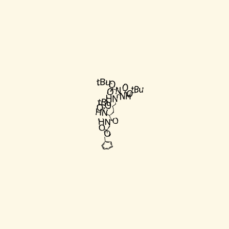 CC(C)(C)OC(=O)/N=C(\NCCC[C@H](NC(=O)OC(C)(C)C)C(=O)NCC(=O)OCc1ccccc1)NC(=O)OC(C)(C)C